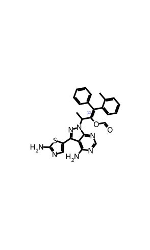 Cc1ccccc1/C(=C(\OC=O)C(C)n1nc(-c2cnc(N)s2)c2c(N)ncnc21)c1ccccc1